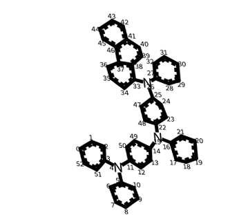 c1ccc(N(c2ccccc2)c2ccc(N(c3ccccc3)c3ccc(N(c4ccccc4)c4cccc5c4ccc4ccccc45)cc3)cc2)cc1